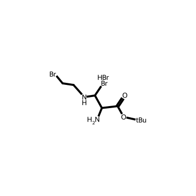 Br.CC(C)(C)OC(=O)C(N)C(Br)NCCBr